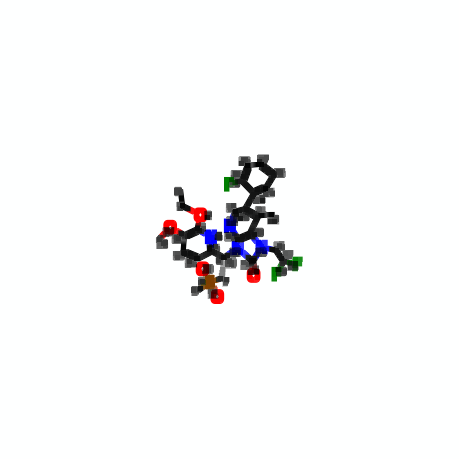 CCOc1nc([C@@H](CS(C)(=O)=O)n2c(=O)n(CC(F)F)c3c(C)c(-c4ccccc4F)cnc32)ccc1OC